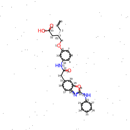 C=CC[C@H](COc1cccc(NC(=O)Cc2ccc3nc(Nc4ccccc4)oc3c2)c1)CC(=O)O